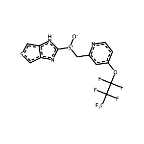 [O-][S+](Cc1cc(OC(F)(F)C(F)(F)C(F)(F)F)ccn1)c1nc2cscc2[nH]1